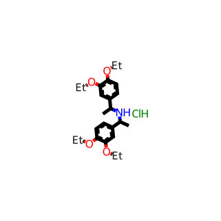 CCOc1ccc(C(C)NC(C)c2ccc(OCC)c(OCC)c2)cc1OCC.Cl